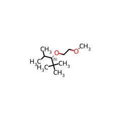 COCCO[C@@H](C(C)C)C(C)(C)C